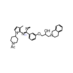 C=N/C(=N\c1c(C)ccn1C1CCN(C(C)=O)CC1)c1cccc(OCC(O)CN2CCc3ccccc3C2)c1